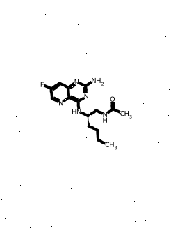 CCCC[C@H](CNC(C)=O)Nc1nc(N)nc2cc(F)cnc12